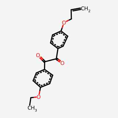 C=CCOc1ccc(C(=O)C(=O)c2ccc(OCC)cc2)cc1